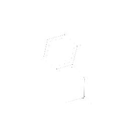 O=C(F)[CH]c1ccccc1